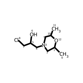 CC1CN(CC(O)CCl)CC(C)O1